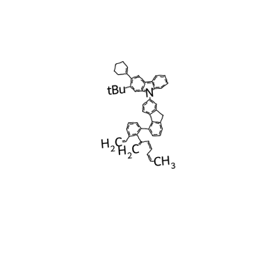 C=Cc1cccc(-c2cccc3c2-c2ccc(-n4c5ccccc5c5cc(C6=CCCCC6)c(C(C)(C)C)cc54)cc2C3)c1C(=C)/C=C\C=C/C